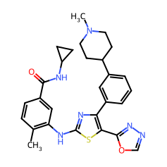 Cc1ccc(C(=O)NC2CC2)cc1Nc1nc(-c2cccc(C3CCN(C)CC3)c2)c(-c2nnco2)s1